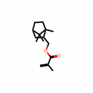 C=C(C)C(=O)OCC1CC2CCC1(C)C2(C)C